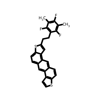 Cc1c(F)c(C)c(F)c(CCc2cc3c(ccc4cc5c(ccc6sccc65)cc43)s2)c1F